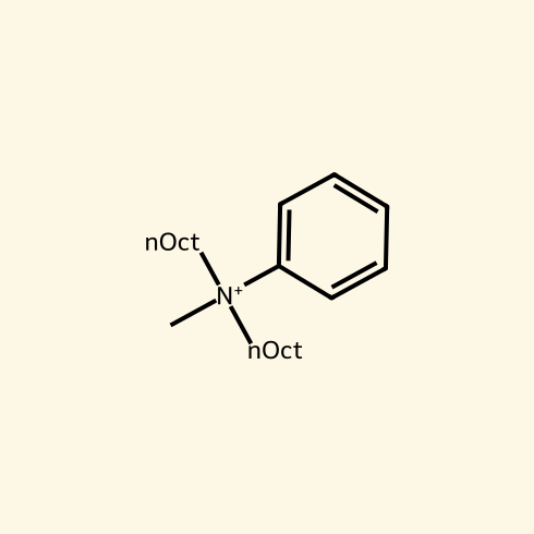 CCCCCCCC[N+](C)(CCCCCCCC)c1ccccc1